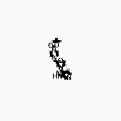 CC(C)(C)OC(=O)N1CCN(CC2CN(c3n[nH]c4cnccc34)CCO2)CC1